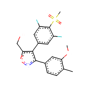 Cc1ccc(-c2noc(CO)c2-c2cc(F)c(S(C)(=O)=O)c(F)c2)cc1OC(F)(F)F